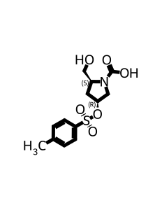 Cc1ccc(S(=O)(=O)O[C@@H]2C[C@@H](CO)N(C(=O)O)C2)cc1